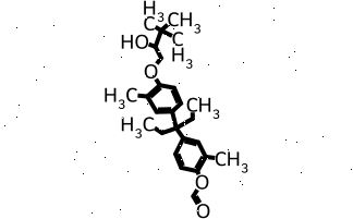 CCC(CC)(c1ccc(OC=O)c(C)c1)c1ccc(OCC(O)C(C)(C)C)c(C)c1